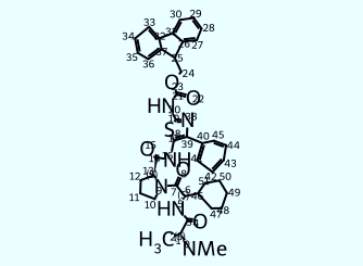 CN[C@@H](C)C(=O)N[C@H](C(=O)N1CCC[C@H]1C(=O)Nc1sc(NC(=O)OCC2c3ccccc3-c3ccccc32)nc1-c1ccccc1)C1CCCCC1